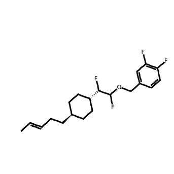 CC=CCC[C@H]1CC[C@H](C(F)C(F)OCc2ccc(F)c(F)c2)CC1